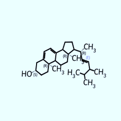 CC(C)C(C)/C=C/[C@@H](C)C1CCC2C3=CC=C4C[C@@H](O)CC[C@]4(C)C3CC[C@@]21C